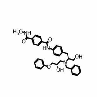 CNC(=O)c1ccc(C(=O)Nc2ccc(C[C@@H](CO)N(Cc3ccccc3)C[C@H](O)COc3ccccc3)cc2)cc1